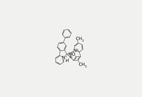 CC1=C2C(O)=C1[C@@H]1C([n+]3cc(C)ccc32)C12c1cc(-c3ccccc3)ccc1-c1cccc[n+]12